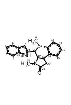 CSC(c1cc2ccccc2[nH]1)C1C(c2ccccc2)CC(=O)N1C